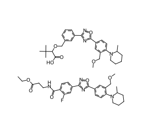 CCOC(=O)CCNC(=O)c1ccc(-c2noc(-c3ccc(N4CCCCC4C)c(COC)c3)n2)cc1F.COCc1cc(-c2nc(-c3cccc(COC(C(=O)O)C(C)(C)C)c3)no2)ccc1N1CCCCC1C